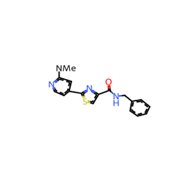 CNc1cc(-c2nc(C(=O)NCc3ccccc3)cs2)ccn1